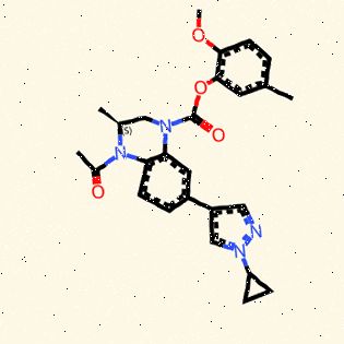 COc1ccc(C)cc1OC(=O)N1C[C@H](C)N(C(C)=O)c2ccc(-c3cnn(C4CC4)c3)cc21